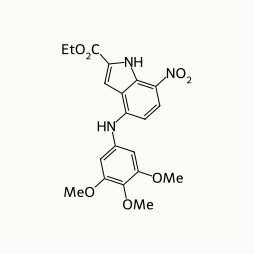 CCOC(=O)c1cc2c(Nc3cc(OC)c(OC)c(OC)c3)ccc([N+](=O)[O-])c2[nH]1